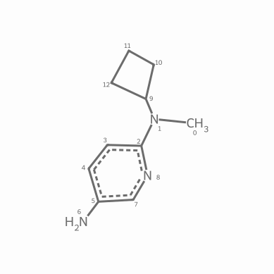 CN(c1ccc(N)cn1)C1CCC1